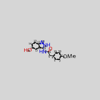 COc1ccc(CC(=O)Nc2[nH]nc3ccc(O)cc23)cc1